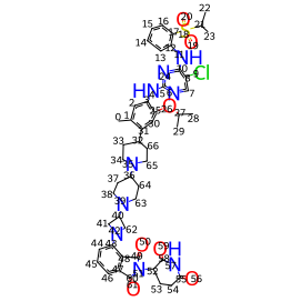 Cc1cc(Nc2ncc(Cl)c(Nc3ccccc3S(=O)(=O)C(C)C)n2)c(OC(C)C)cc1C1CCN(C2CCN(C3CN(c4cccc5c4C(=O)N(C4CCC(=O)NC4=O)C5=O)C3)CC2)CC1